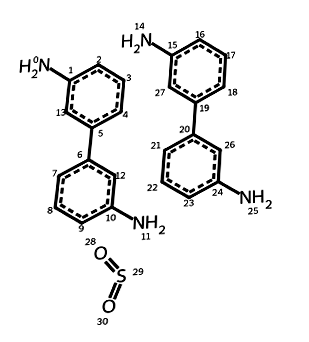 Nc1cccc(-c2cccc(N)c2)c1.Nc1cccc(-c2cccc(N)c2)c1.O=S=O